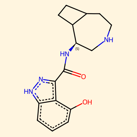 O=C(N[C@@H]1CNCCC2CCC21)c1n[nH]c2cccc(O)c12